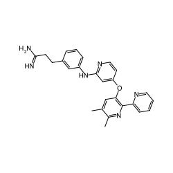 Cc1cc(Oc2ccnc(Nc3cccc(CCC(=N)N)c3)c2)c(-c2ccccn2)nc1C